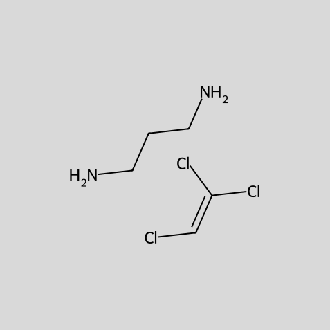 ClC=C(Cl)Cl.NCCCN